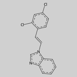 Clc1ccc(/C=C/n2cnc3ccccc32)c(Cl)c1